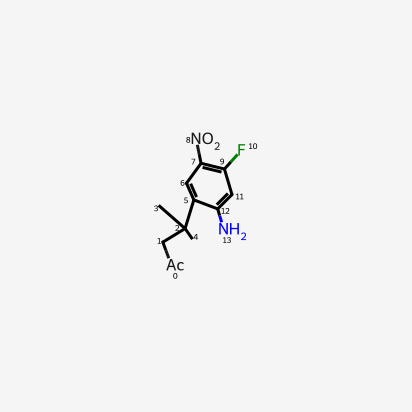 CC(=O)CC(C)(C)c1cc([N+](=O)[O-])c(F)cc1N